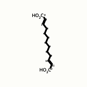 O=C(O)C=CCCCCCCCC=CC(=O)O